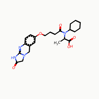 CC(C(=O)O)N(C(=O)CCCOc1ccc2c(c1)CN1CC(=O)NC1=N2)C1CCCCC1